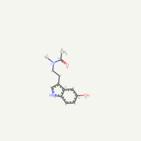 [2H]N(CCc1c[nH]c2ccc(O)cc12)C(C)=O